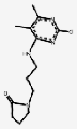 Cc1nc(Cl)nc(NCCCN2CCCC2=O)c1C